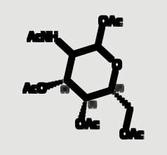 CC(=O)NC1C(OC(C)=O)O[C@H](COC(C)=O)[C@H](OC(C)=O)[C@@H]1OC(C)=O